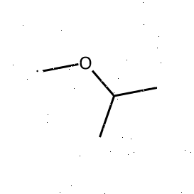 [CH2]OC(C)C